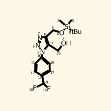 CC(C)(C)[Si](C)(C)OCc1nnn(-c2ccc(C(F)F)cc2)c1CO